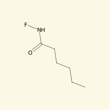 CCCCCC(=O)NF